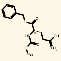 C=C(O)CC[C@H](NC(=O)OC(C)(C)C)C(=O)OCc1ccccc1